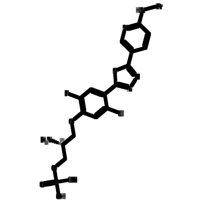 CC(C)Nc1ccc(-c2nnc(-c3cc(F)c(OC[C@@H](N)COP(=O)(O)O)cc3Cl)s2)cn1